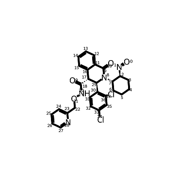 O=N[C@H]1CCCC[C@@H]1N1C(=O)c2ccccc2[C@@H](C(=O)NOCc2ccccn2)[C@@H]1c1ccc(Cl)cc1Cl